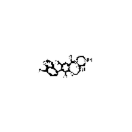 O=C1c2cc(Cl)c(-c3ccc(F)c4sccc34)c(Cl)c2OCC[C@H]2CNCCN12